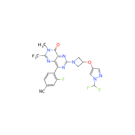 Cn1c(C(F)(F)F)nc2c(-c3ccc(C#N)cc3F)nc(N3CC(Oc4cnn(C(F)F)c4)C3)nc2c1=O